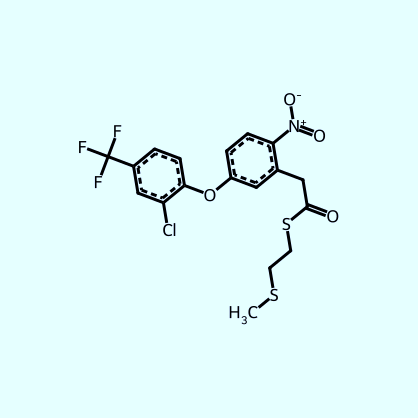 CSCCSC(=O)Cc1cc(Oc2ccc(C(F)(F)F)cc2Cl)ccc1[N+](=O)[O-]